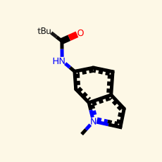 Cn1ccc2ccc(NC(=O)C(C)(C)C)cc21